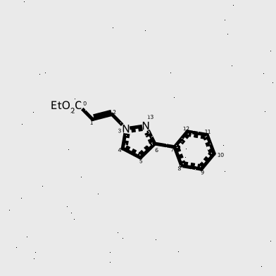 CCOC(=O)/C=C/n1ccc(-c2ccccc2)n1